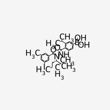 CCC[C@@H](N(NC(=O)c1ccc(B(O)O)cc1C(C)C)C(=O)c1cc(C)cc(I)c1)C(C)(C)C